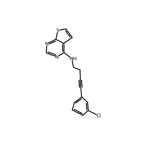 Clc1cccc(C#CCCNc2ncnc3sccc23)c1